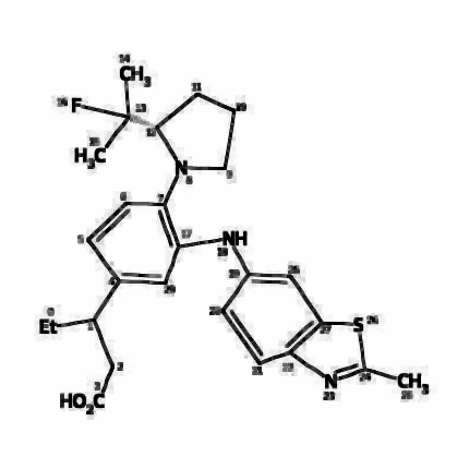 CCC(CC(=O)O)c1ccc(N2CCC[C@H]2C(C)(C)F)c(Nc2ccc3nc(C)sc3c2)c1